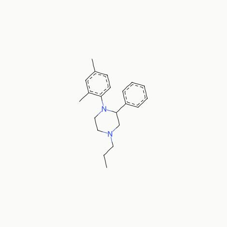 CCCN1CCN(c2ccc(C)cc2C)C(c2ccccc2)C1